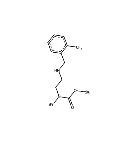 CC(C)N(CCNCc1ccccc1C(F)(F)F)C(=O)OC(C)(C)C